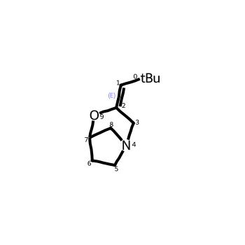 CC(C)(C)/C=C1\CN2CCC(C2)O1